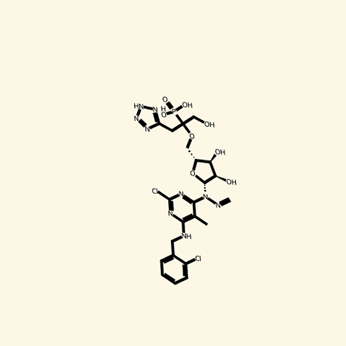 C=NN(c1nc(Cl)nc(NCc2ccccc2Cl)c1C)[C@@H]1O[C@H](COC(CO)(Cc2nn[nH]n2)P(=O)(O)O)[C@@H](O)[C@H]1O